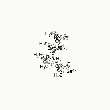 CCCCC(CCCC)(CCCC)C(=O)[O-].CCCCC(CCCC)(CCCC)C(=O)[O-].CCCCC(CCCC)(CCCC)C(=O)[O-].CCCCC(CCCC)(CCCC)C(=O)[O-].[Ge+4]